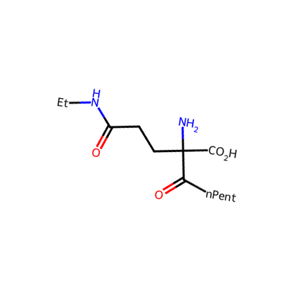 CCCCCC(=O)C(N)(CCC(=O)NCC)C(=O)O